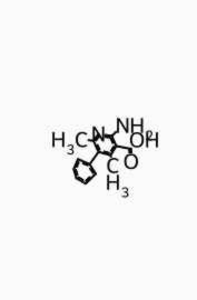 Cc1nc(N)c(C(=O)O)c(C)c1-c1ccccc1